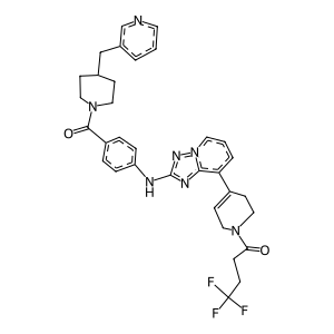 O=C(CCC(F)(F)F)N1CC=C(c2cccn3nc(Nc4ccc(C(=O)N5CCC(Cc6cccnc6)CC5)cc4)nc23)CC1